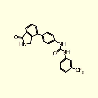 O=C(Nc1ccc(-c2cccc3c2CNC3=O)cc1)Nc1cccc(C(F)(F)F)c1